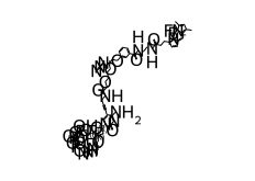 Cc1cc(C)n2c1C=C1C=CC(CCC(=O)NCCNC(=O)c3cccc(OCC(N=[N+]=[N-])OCCOCC(=O)NCC#Cc4cn([C@H]5C[C@@H](OCN=[N+]=[N-])[C@@H](COP(=O)(O)OP(=O)(O)OP(C)(=O)O)O5)c(=O)nc4N)c3)=[N+]1B2F